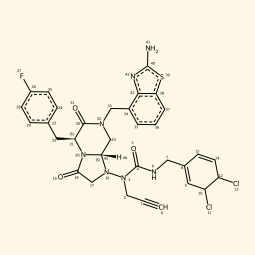 C#CCN(C(=O)NCC1=CC(Cl)C(Cl)C=C1)N1CC(=O)N2[C@@H](Cc3ccc(F)cc3)C(=O)N(Cc3cccc4sc(N)nc34)C[C@@H]21